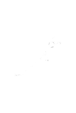 CCCCCCCCCCCCCCCCCCOCC(CO)OCc1cc(F)c(Cl)c(C#N)c1